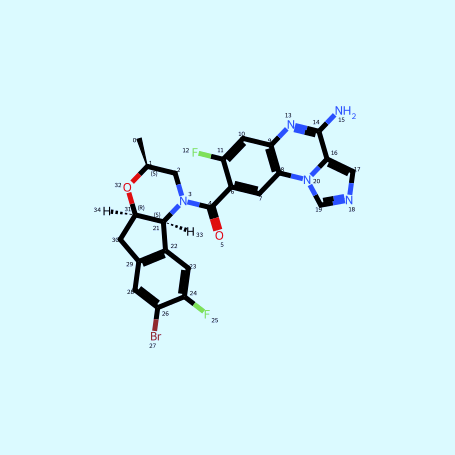 C[C@H]1CN(C(=O)c2cc3c(cc2F)nc(N)c2cncn23)[C@H]2c3cc(F)c(Br)cc3C[C@H]2O1